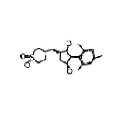 Cc1cc(C)c(C2C(=O)C/C(=C\C3CCS(=O)(=O)CC3)C2=O)c(C)c1